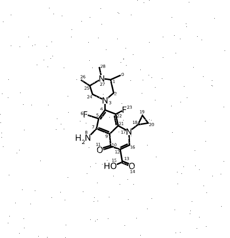 CC1CN(c2c(F)c(N)c3c(=O)c(C(=O)O)cn(C4CC4)c3c2F)CC(C)N1C